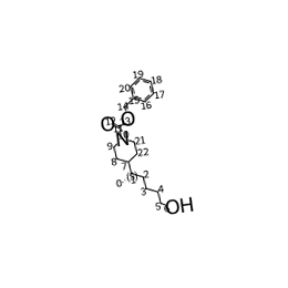 C[C@@H](CCCCO)C1CCN(C(=O)OCc2ccccc2)CC1